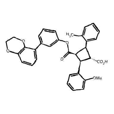 COc1ccccc1[C@@H]1[C@@H](C(=O)O)C(c2ccccc2C)[C@@H]1C(=O)Oc1cccc(-c2cccc3c2OCCO3)c1